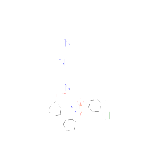 O=C(CC1c2ccccc2-c2ccccc2N1S(=O)(=O)c1ccc(Cl)c(Cl)c1)NCCCN1CCC(N2CCCCC2)CC1